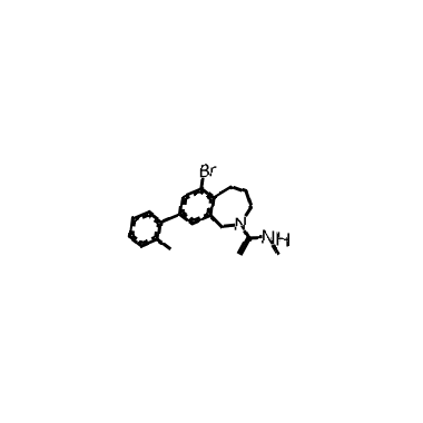 C=C(NC)N1CCCc2c(Br)cc(-c3ccccc3C)cc2C1